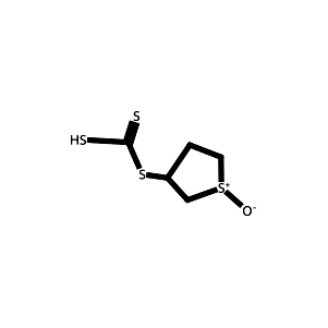 [O-][S+]1CCC(SC(=S)S)C1